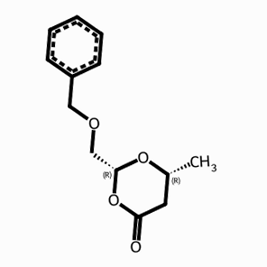 C[C@@H]1CC(=O)O[C@H](COCc2ccccc2)O1